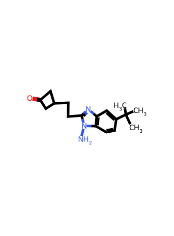 CC(C)(C)c1ccc2c(c1)nc(CCC1CC(=O)C1)n2N